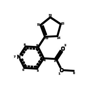 COC(=O)c1ccncc1C1=CCCC1